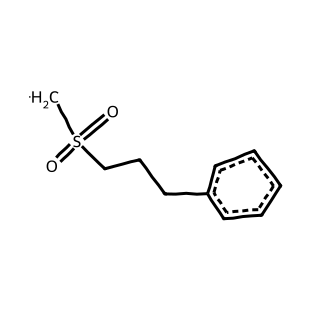 [CH2]S(=O)(=O)CCCc1ccccc1